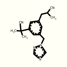 CC(C#N)Cc1cc(Cn2cncn2)cc(C(C)(C)C#N)c1